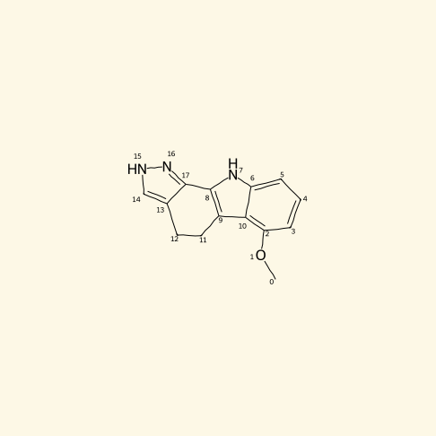 COc1cccc2[nH]c3c(c12)CCc1c[nH]nc1-3